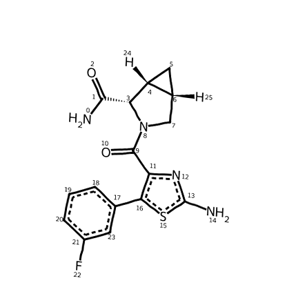 NC(=O)[C@@H]1[C@@H]2C[C@@H]2CN1C(=O)c1nc(N)sc1-c1cccc(F)c1